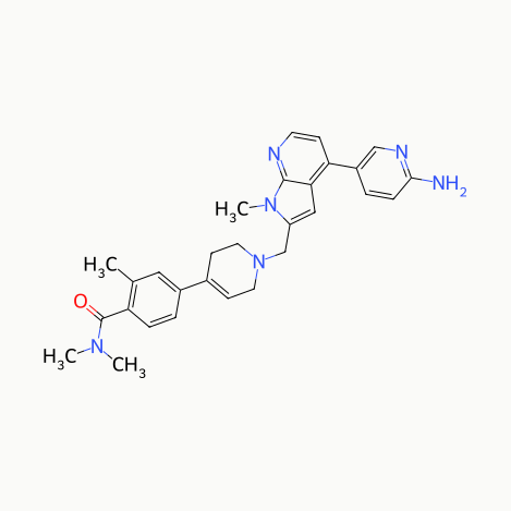 Cc1cc(C2=CCN(Cc3cc4c(-c5ccc(N)nc5)ccnc4n3C)CC2)ccc1C(=O)N(C)C